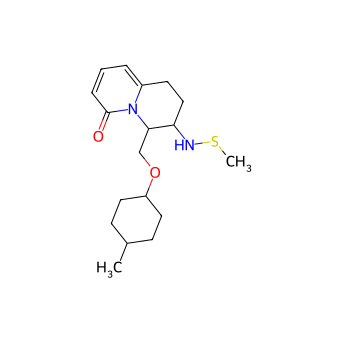 CSNC1CCc2cccc(=O)n2C1COC1CCC(C)CC1